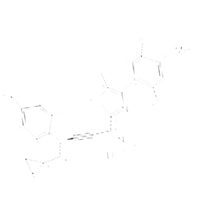 COc1cc(Cl)c(-c2nc(C(N)C#C[C@@H](CC3CC3)c3ccc(Cl)cc3)sc2C)cc1C.Cl